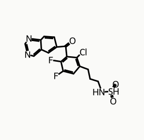 O=C(c1ccc2ncncc2c1)c1c(F)c(F)cc(CCCN[SH](=O)=O)c1Cl